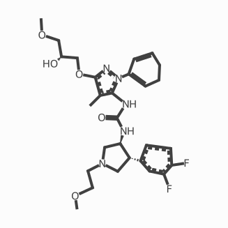 COCCN1C[C@@H](NC(=O)Nc2c(C)c(OC[C@H](O)COC)nn2C2=CCCC=C2)[C@H](c2ccc(F)c(F)c2)C1